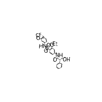 CCOc1cc(NC(=O)[C@@H](CO)c2ccccc2)ccc1S(=O)(=O)Nc1cccc(OC(F)(F)F)c1